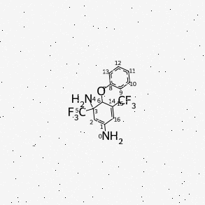 NC1=CC(N)(C(F)(F)F)C(Oc2ccccc2)C(C(F)(F)F)=C1